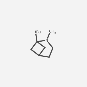 CN1CCC2CC1(C(C)(C)C)C2